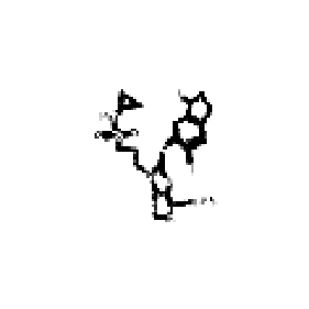 Cc1ncnc2c1nc(Sc1cc3c(cc1I)CCC3F)n2CCCS(=O)(=O)NC1CC1